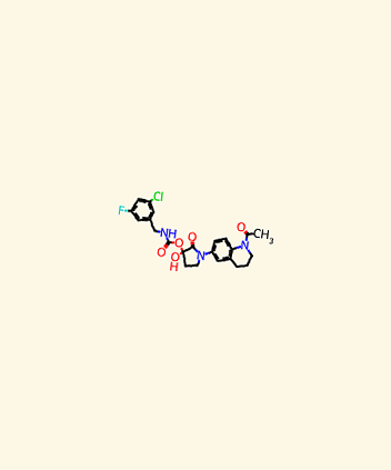 CC(=O)N1CCCc2cc(N3CC[C@](O)(OC(=O)NCc4cc(F)cc(Cl)c4)C3=O)ccc21